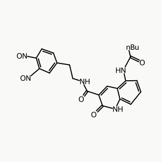 CCCCC(=O)Nc1cccc2[nH]c(=O)c(C(=O)NCCc3ccc(N=O)c(N=O)c3)cc12